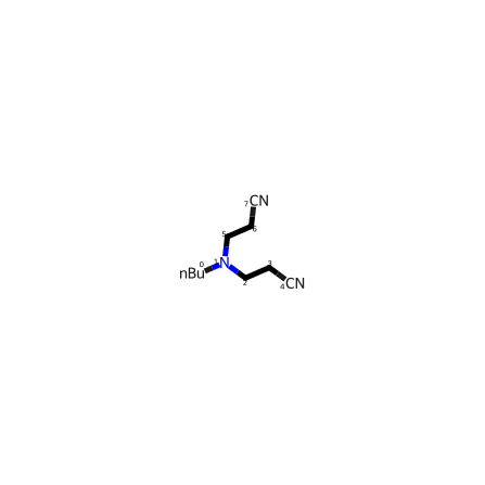 CCCCN(CCC#N)CCC#N